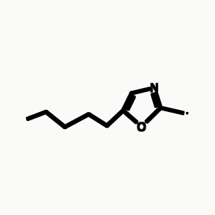 [CH2]c1ncc(CCCCC)o1